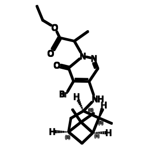 CCOC(=O)C(C)n1ncc(N[C@@H]2C[C@@H]3C[C@H]([C@H]2C)C3(C)C)c(Br)c1=O